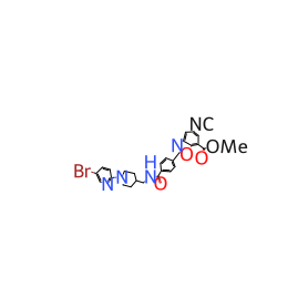 [C-]#[N+]c1cc(C(=O)OC)c2oc(-c3ccc(C(=O)NCC4CCN(c5ccc(Br)cn5)CC4)cc3)nc2c1